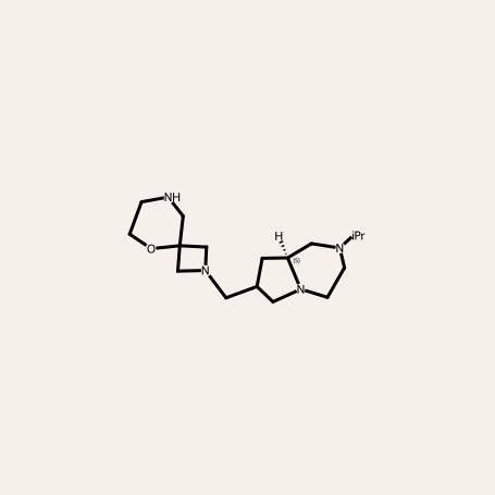 CC(C)N1CCN2CC(CN3CC4(CNCCO4)C3)C[C@H]2C1